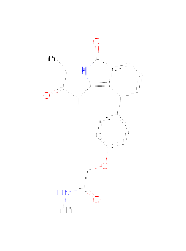 CCCNC(=O)COc1ccc(C2C=CC=C3C(=O)N4C(=C32)C(C)C(=O)C4C(C)C)cc1